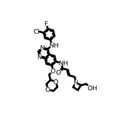 O=C(C=CCN1CCC1CO)Nc1cc2c(Nc3ccc(F)c(Cl)c3)ncnc2cc1OCC1COCCO1